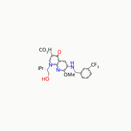 COc1nc2c(cc1NCc1cccc(C(F)(F)F)c1)c(=O)c(C(=O)O)cn2[C@H](CO)C(C)C